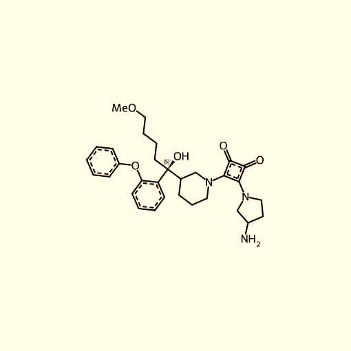 COCCCC[C@@](O)(c1ccccc1Oc1ccccc1)C1CCCN(c2c(N3CCC(N)C3)c(=O)c2=O)C1